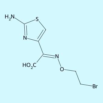 Nc1nc(C(=NOCCBr)C(=O)O)cs1